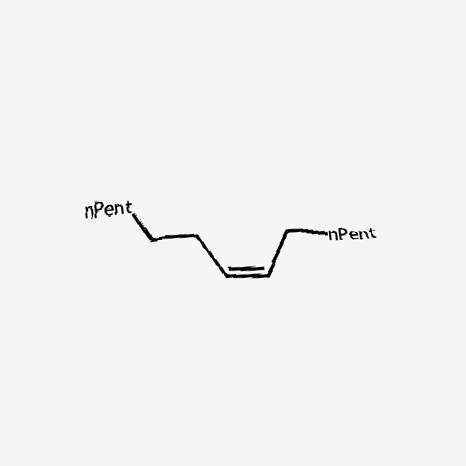 [CH2]CCCCC/C=C\CCCCCCC